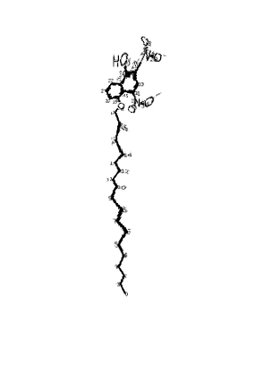 CCCCCCCCCCCCCCCCCCOc1cccc2c(O)c([N+](=O)[O-])cc([N+](=O)[O-])c12